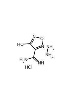 Cl.N=C(N)c1nonc1O.NN